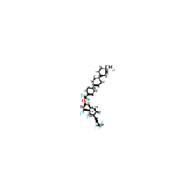 CC1CCC(C2CCC(C3CCC(C(F)(F)Oc4cc(F)c5c(F)c(C#CC(F)(F)F)c(F)cc5c4)CC3)CC2)CC1